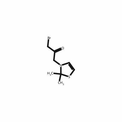 CC1(C)SC=CN1CC(=O)CBr